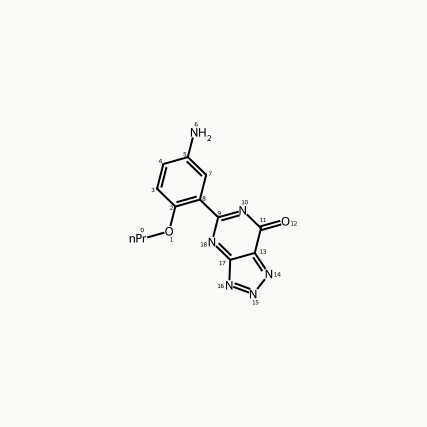 CCCOc1ccc(N)cc1C1=NC(=O)C2=NN=NC2=N1